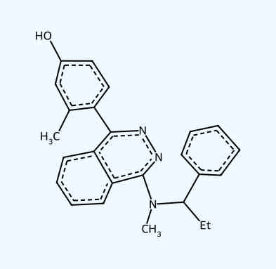 CCC(c1ccccc1)N(C)c1nnc(-c2ccc(O)cc2C)c2ccccc12